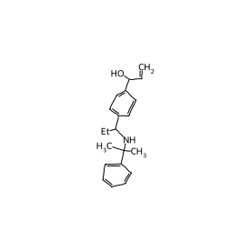 C=CC(O)c1ccc(C(CC)NC(C)(C)c2ccccc2)cc1